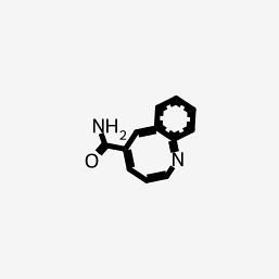 NC(=O)C1=CC=CN=c2ccccc2=C1